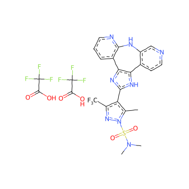 Cc1c(-c2nc3c([nH]2)-c2ccncc2Nc2ncccc2-3)c(C(F)(F)F)nn1S(=O)(=O)N(C)C.O=C(O)C(F)(F)F.O=C(O)C(F)(F)F